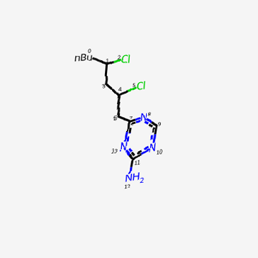 CCCCC(Cl)CC(Cl)Cc1ncnc(N)n1